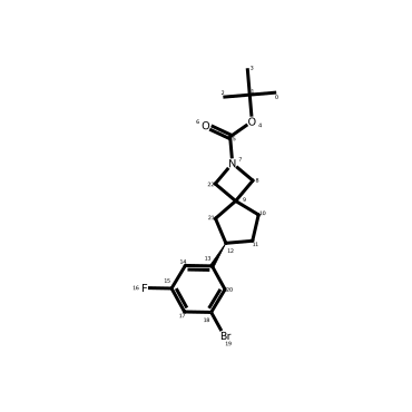 CC(C)(C)OC(=O)N1CC2(CC[C@@H](c3cc(F)cc(Br)c3)C2)C1